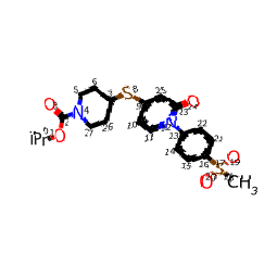 CC(C)OC(=O)N1CCC(Sc2ccn(-c3ccc(S(C)(=O)=O)cc3)c(=O)c2)CC1